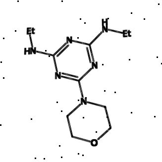 CCNc1nc(NCC)nc(N2CCOCC2)n1